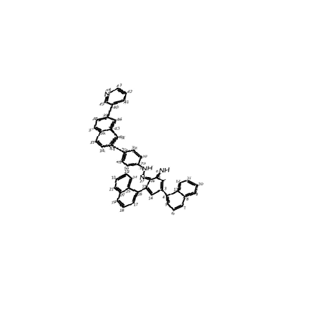 N=C1C=C(c2cccc3ccccc23)C=C(c2cccc3ccccc23)/C1=N/Nc1ccc(-c2ccc3ccc(-c4cccnc4)cc3c2)cc1